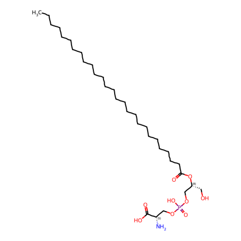 CCCCCCCCCCCCCCCCCCCCCCCCCCC(=O)O[C@H](CO)COP(=O)(O)OC[C@H](N)C(=O)O